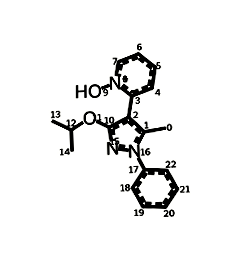 Cc1c(-c2cccc[n+]2O)c(OC(C)C)nn1-c1ccccc1